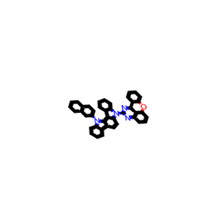 c1ccc2c(c1)Oc1cccc3nc(-n4c5ccccc5c5c4ccc4c6ccccc6n(-c6ccc7ccccc7c6)c45)nc-2c13